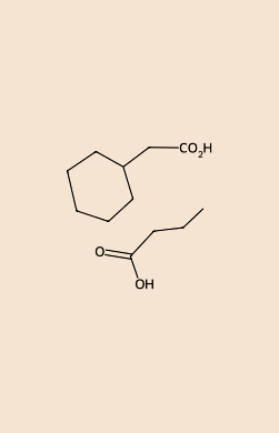 CCCC(=O)O.O=C(O)CC1CCCCC1